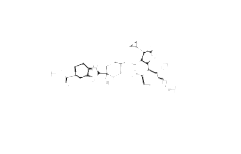 C\C=C(Cl)/C(=C(Cl)\C=N\O)c1noc(C2CC2)c1COC1CCC(O)(c2nc3ccc(C(=O)O)cc3s2)CC1